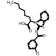 CCCCCCC(C(=O)O)n1/c(=N/C(=O)c2cccc(Cl)c2)sc2ccccc21